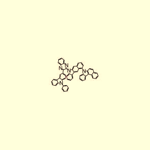 c1ccc(-n2c3ccccc3c3cc(-c4nc5ccccc5nc4-n4c5ccccc5c5cc6c(-n7c8ccccc8c8c9ccccc9ccc87)cccc6cc54)ccc32)cc1